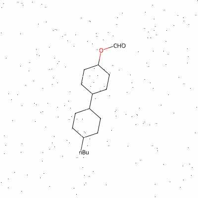 CCCCC1CCC(C2CCC(OC=O)CC2)CC1